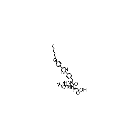 CCCCCCCOc1ccc(-c2cnc(-c3ccc(C[C@H](NC(=O)C4CC=C(C(C)(C)C)S4)C(=O)N[C@@H](C)CC(=O)O)cc3)nc2)cc1